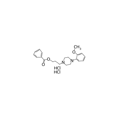 COc1ccccc1N1CCN(CCCOC(=O)c2ccccc2)CC1.Cl.Cl